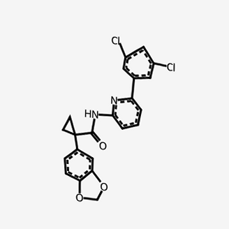 O=C(Nc1cccc(-c2cc(Cl)cc(Cl)c2)n1)C1(c2ccc3c(c2)OCO3)CC1